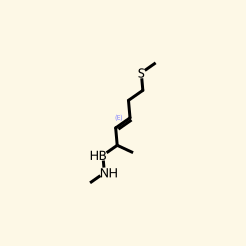 CNBC(C)/C=C/CCSC